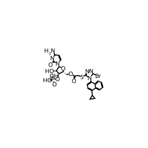 Nc1ccn([C@@H]2O[C@H](COC(=O)CSc3nnc(Br)n3-c3ccc(C4CC4)c4ccccc34)[C@@H](OP(=O)(O)O)[C@H]2O)c(=O)n1